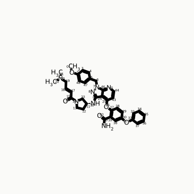 COc1ccc(Cn2nc(N[C@@H]3CCN(C(=O)/C=C/CN(C)C)C3)c3c(Oc4ccc(Oc5ccccc5)cc4C(N)=O)ccnc32)cc1